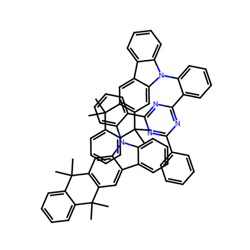 CC1(C)c2ccccc2C(C)(C)c2cc3c(cc21)c1ccccc1n3-c1ccccc1-c1nc(-c2ccccc2)nc(-c2ccccc2-n2c3ccccc3c3cc4c(cc32)C(C)(C)c2ccccc2C4(C)C)n1